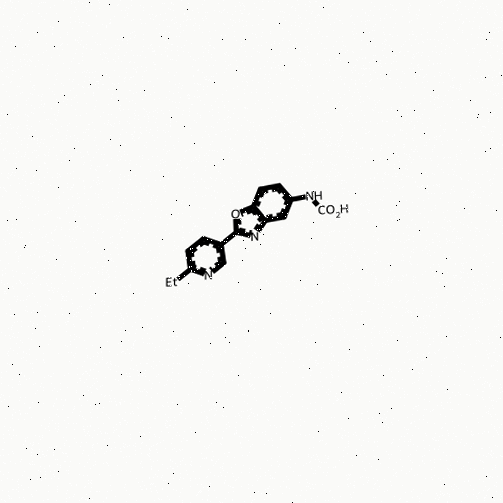 CCc1ccc(-c2nc3cc(NC(=O)O)ccc3o2)cn1